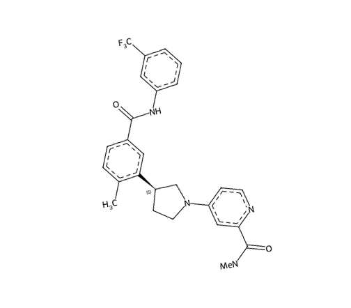 CNC(=O)c1cc(N2CC[C@@H](c3cc(C(=O)Nc4cccc(C(F)(F)F)c4)ccc3C)C2)ccn1